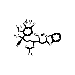 COc1ccc(C(C)(C#N)CCC(OC(C)=O)C(CC2Oc3ccccc3O2)[N+](=O)[O-])c(OC)c1OC